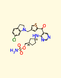 NS(=O)(=O)OC[C@@H]1CC[C@H](Nc2ncncc2C(=O)c2cc(CN3CCc4ccc(Cl)cc43)cs2)C1